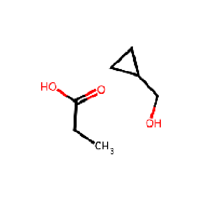 CCC(=O)O.OCC1CC1